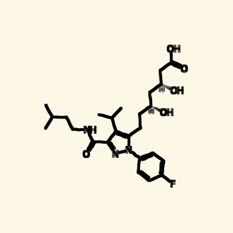 CC(C)CCNC(=O)c1nn(-c2ccc(F)cc2)c(CC[C@@H](O)C[C@@H](O)CC(=O)O)c1C(C)C